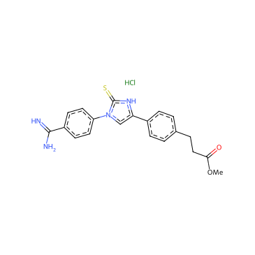 COC(=O)CCc1ccc(-c2cn(-c3ccc(C(=N)N)cc3)c(=S)[nH]2)cc1.Cl